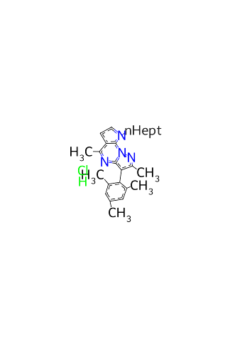 CCCCCCCn1ccc2c(C)nc3c(-c4c(C)cc(C)cc4C)c(C)nn3c21.Cl